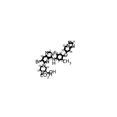 Cc1cc(Nc2ncnc3cc(Br)c(N4CCN(C(=O)O)[C@H](CO)C4)nc23)c(F)cc1Oc1ccn2ncnc2c1